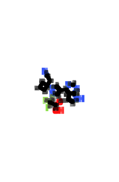 N#CCC1(n2cc(-c3ncnc4[nH]ccc34)cn2)CCC1.O=C(O)C(F)(F)F